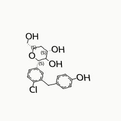 OC[C@@H]1C[C@H](O)C(O)[C@H](c2ccc(Cl)c(Cc3ccc(O)cc3)c2)O1